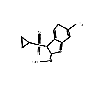 O=CNC1N=C2C=C(C(=O)O)CC=C2N1S(=O)(=O)C1CC1